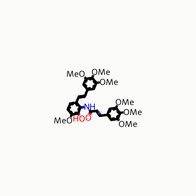 COc1ccc(C=Cc2cc(OC)c(OC)c(OC)c2)c(NC(=O)/C=C/c2cc(OC)c(OC)c(OC)c2)c1O